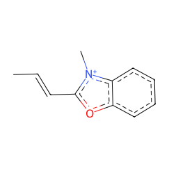 CC=Cc1oc2ccccc2[n+]1C